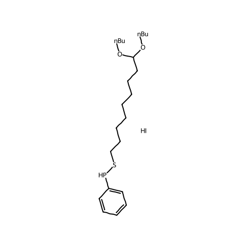 CCCCOC(CCCCCCCCSPc1ccccc1)OCCCC.I